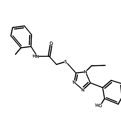 CCn1c(SCC(=O)Nc2ccccc2C)nnc1-c1ccccc1O